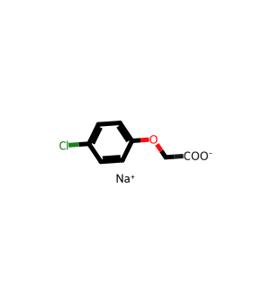 O=C([O-])COc1ccc(Cl)cc1.[Na+]